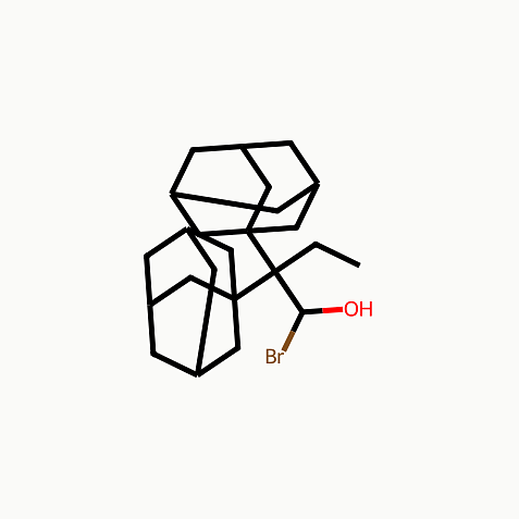 CCC(C(O)Br)(C12CC3CC(CC(C3)C1)C2)C12CC3CC(CC(C3)C1)C2